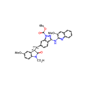 COc1ccc2c(c1)[C@]1(C[C@H]1c1ccc3c(Nc4nc5ccccc5cc4OC)nn(C(=O)OC(C)(C)C)c3c1)C(=O)N2C(=O)O